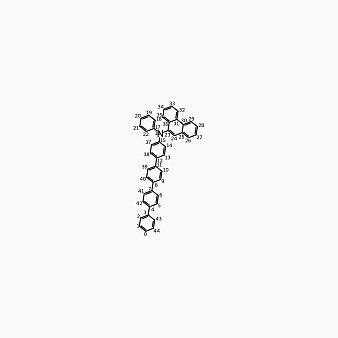 c1ccc(-c2ccc(-c3ccc(-c4ccc(N(c5ccccc5)c5cc6ccccc6c6ccccc56)cc4)cc3)cc2)cc1